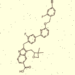 CC1(C)COC1Cn1c(Cc2ccc(-c3cccc(OCc4ccc(C#N)cc4F)n3)cc2F)nc2ccc(C(=O)O)cc21